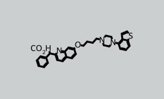 O=C(O)C(c1ccccc1)c1ccc2ccc(OCCCCN3CCN(c4cccc5sccc45)CC3)cc2n1